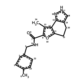 Cc1ccc(CNC(=O)c2oc3c(c2C)-c2n[nH]cc2CC3)cc1